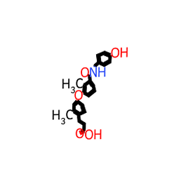 Cc1cc(Oc2cccc(C(=O)NCc3ccc(O)cc3)c2C)ccc1CCC(=O)O